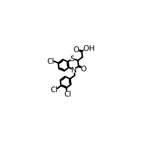 O=C(O)CC1Sc2cc(Cl)ccc2N(Cc2ccc(Cl)c(Cl)c2)C1=O